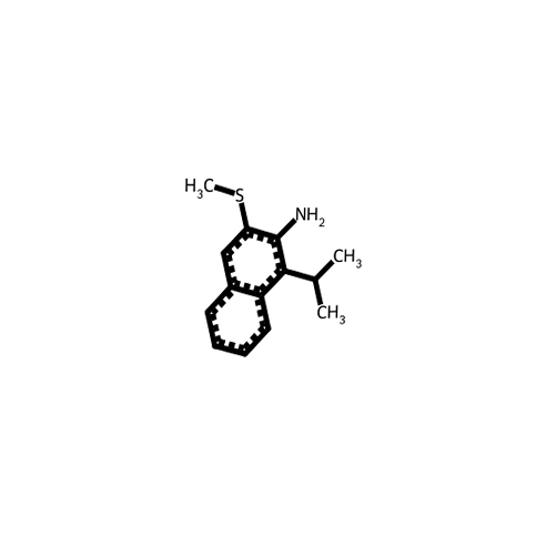 CSc1cc2ccccc2c(C(C)C)c1N